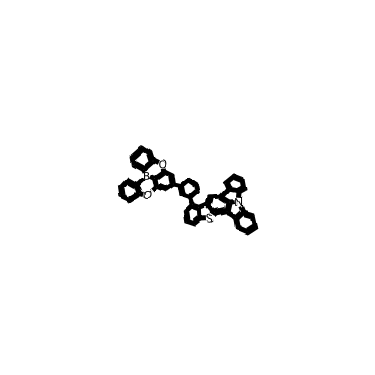 C1=CCC2C(=C1)n1c3ccccc3c3cc4c(sc5cccc(-c6cccc(-c7cc8c9c(c7)Oc7ccccc7B9c7ccccc7O8)c6)c54)c2c31